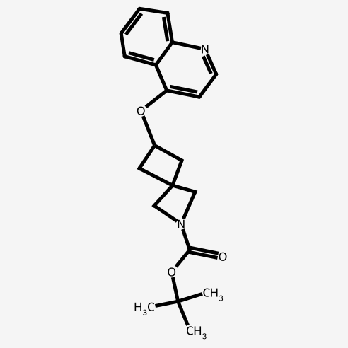 CC(C)(C)OC(=O)N1CC2(CC(Oc3ccnc4ccccc34)C2)C1